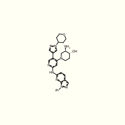 CC(C)n1ncc2ccc(Nc3cc(N4CC[C@@H](O)[C@H](N)C4)c(-c4cnn(C5CCOCC5)c4)cn3)nc21